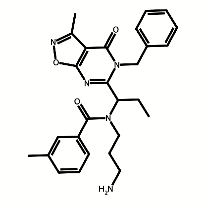 CCC(c1nc2onc(C)c2c(=O)n1Cc1ccccc1)N(CCCN)C(=O)c1cccc(C)c1